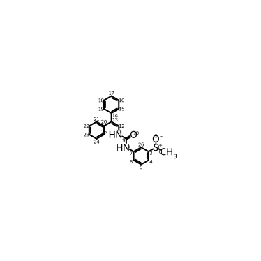 C[S+]([O-])c1cccc(NC(=O)NC=C(c2ccccc2)c2ccccc2)c1